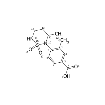 Cc1cc(C(=O)O)ccc1N1C(C)CCNS1(=O)=O